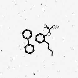 CCCCc1ccccc1OC(=O)O.c1ccc(-c2ccccc2)cc1